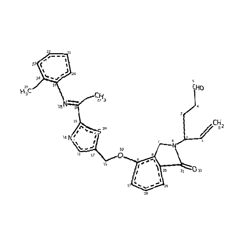 C=CC(CCC=O)N1Cc2c(OCc3cnc(/C(C)=N/c4ccccc4C)s3)cccc2C1=O